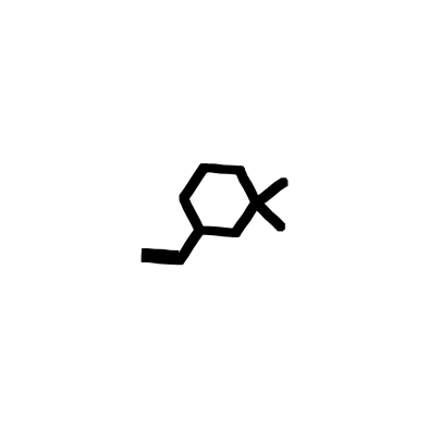 C=CC1CCCC(C)(C)C1